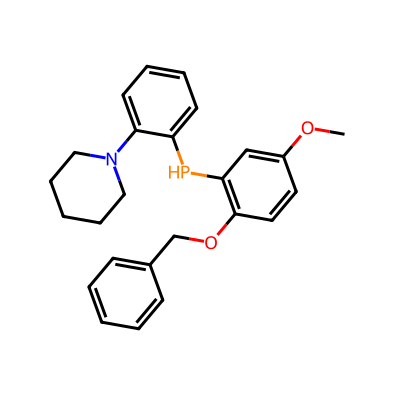 COc1ccc(OCc2ccccc2)c(Pc2ccccc2N2CCCCC2)c1